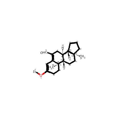 CCOC1=CC2=C(C=O)C[C@H]3[C@@H]4CCC[C@@]4(C)CC[C@@H]3[C@@]2(C)CC1